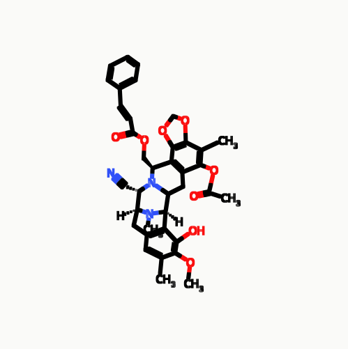 COc1c(C)cc2c(c1O)[C@@H]1C3Cc4c(OC(C)=O)c(C)c5c(c4[C@H](COC(=O)/C=C/c4ccccc4)N3[C@@H](C#N)[C@H](C2)N1C)OCO5